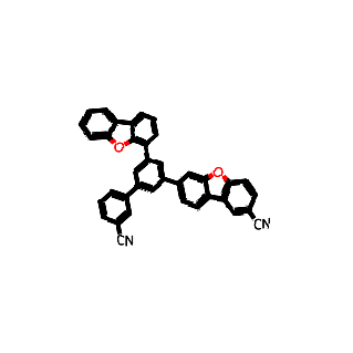 N#Cc1cccc(-c2cc(-c3ccc4c(c3)oc3ccc(C#N)cc34)cc(-c3cccc4c3oc3ccccc34)c2)c1